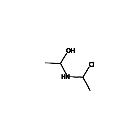 CC(O)NC(C)Cl